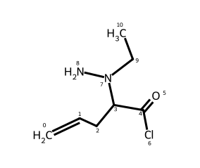 C=CCC(C(=O)Cl)N(N)CC